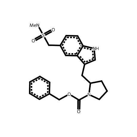 CNS(=O)(=O)Cc1ccc2[nH]cc(CC3CCCN3C(=O)OCc3ccccc3)c2c1